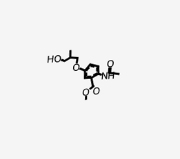 COC(=O)c1cc(OCC(C)CO)ccc1NC(C)=O